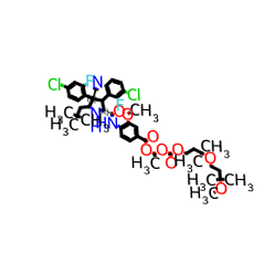 COc1cc(C(=O)OC(C)OC(=O)OCCC(C)(C)OCCC(C)(C)OC)ccc1NC(=O)[C@@H]1NC(CC(C)(C)C)[C@](C#N)(c2ccc(Cl)cc2F)C1c1cccc(Cl)c1F